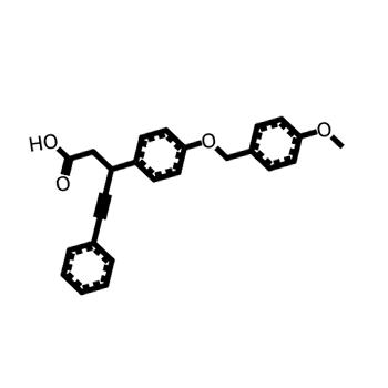 COc1ccc(COc2ccc(C(C#Cc3ccccc3)CC(=O)O)cc2)cc1